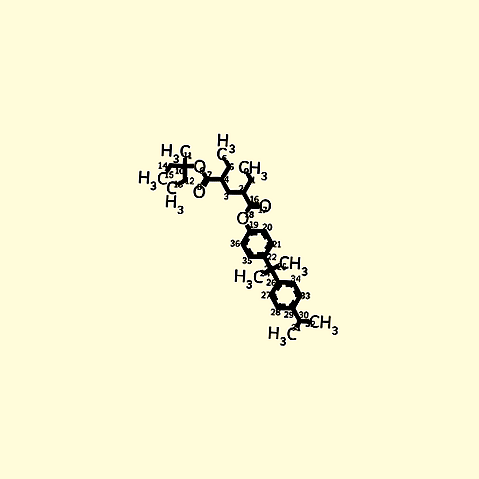 CCC(CC(CC)C(=O)OC(C)(CC)CC)C(=O)Oc1ccc(C(C)(C)c2ccc(C(C)C)cc2)cc1